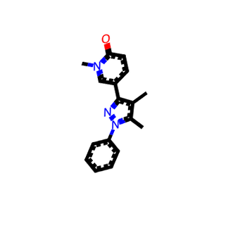 Cc1c(-c2ccc(=O)n(C)c2)nn(-c2ccccc2)c1C